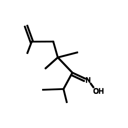 C=C(C)CC(C)(C)C(=NO)C(C)C